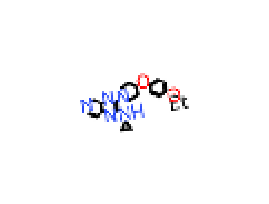 CCOc1ccc(OC2CCN(c3nc4cnccc4nc3NC3CC3)CC2)cc1